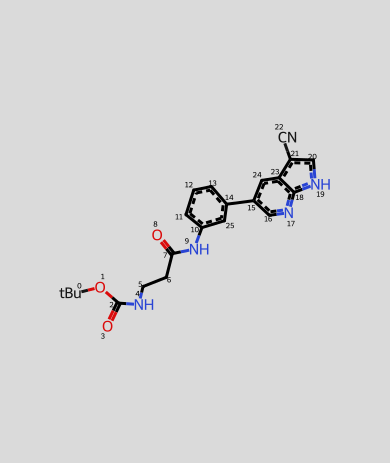 CC(C)(C)OC(=O)NCCC(=O)Nc1cccc(-c2cnc3[nH]cc(C#N)c3c2)c1